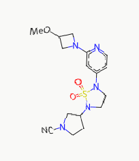 COC1CN(c2cc(N3CCN(C4CCN(C#N)C4)S3(=O)=O)ccn2)C1